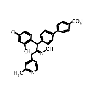 Cc1cc(CC(=NO)[C@H](c2ccc(-c3ccc(C(=O)O)cc3)cc2)c2ccc(Cl)cc2C)ccn1